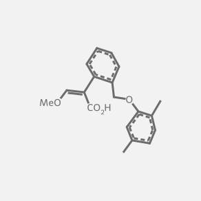 CO/C=C(\C(=O)O)c1ccccc1COc1cc(C)ccc1C